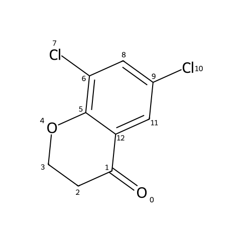 O=C1CCOc2c(Cl)cc(Cl)cc21